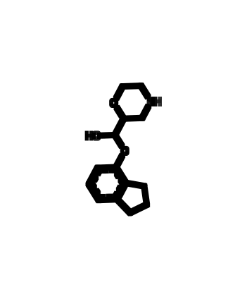 OC(Oc1cccc2c1CCC2)C1CNCCO1